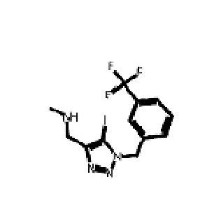 CNCc1nnn(Cc2cccc(C(F)(F)F)c2)c1I